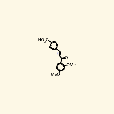 COc1ccc(C(=O)/C=C/c2ccc(C(=O)O)cc2)c(OC)c1